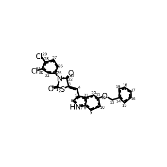 O=C1SC(=Cc2c[nH]c3ccc(OCc4ccccc4)cc23)C(=O)N1c1ccc(Cl)c(Cl)c1